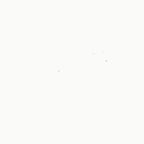 O=C(O)C(=C1C=Cc2ccccc2N1)c1cc(F)ccc1[N+](=O)[O-]